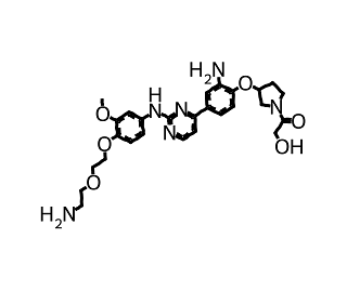 COc1cc(Nc2nccc(-c3ccc(OC4CCN(C(=O)CO)C4)c(N)c3)n2)ccc1OCCOCCN